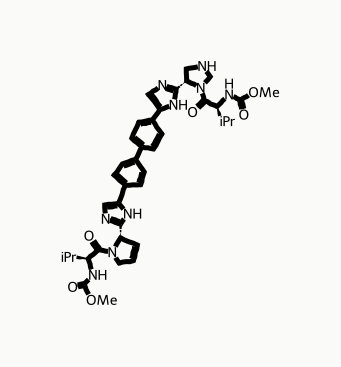 COC(=O)N[C@H](C(=O)N1CC=C[C@H]1c1ncc(-c2ccc(-c3ccc(-c4cnc([C@@H]5CNCN5C(=O)[C@@H](NC(=O)OC)C(C)C)[nH]4)cc3)cc2)[nH]1)C(C)C